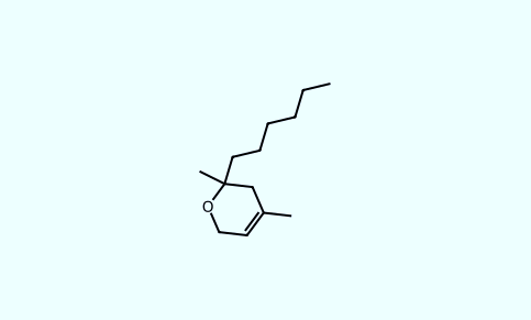 CCCCCCC1(C)CC(C)=CCO1